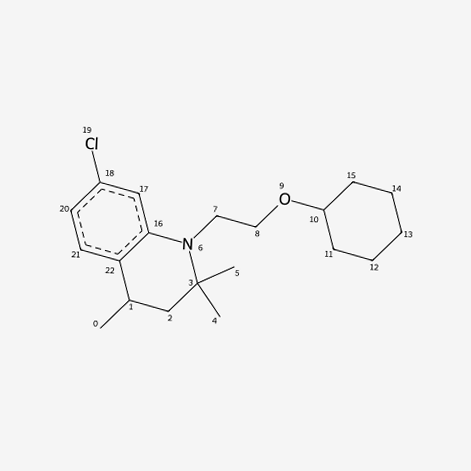 CC1CC(C)(C)N(CCOC2CCCCC2)c2cc(Cl)ccc21